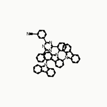 N#Cc1cccc(-c2nc(-c3ccccc3)nc(-c3ccccc3-n3c4cccc(-n5c6ccccc6c6ccccc65)c4c4cccc(-n5c6ccccc6c6ccccc65)c43)n2)c1